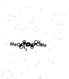 COC(C)COC(=O)c1ccc(C(=O)OCC(C)OC)cc1